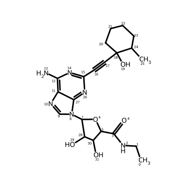 CCNC(=O)C1OC(n2cnc3c(N)nc(C#CC4(O)CCCCC4C)nc32)C(O)C1O